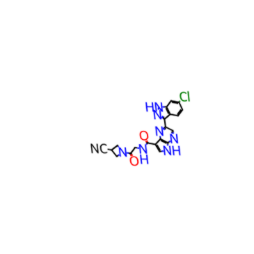 N#CC1CN(C(=O)CNC(=O)c2c[nH]c3ncc(-c4n[nH]c5cc(Cl)ccc45)nc23)C1